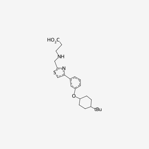 CC(C)(C)C1CCC(Oc2cccc(-c3csc(CNCCC(=O)O)n3)c2)CC1